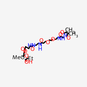 CCC(CO)OC(COC(=O)CCCC(=O)NCCNC(=O)CCOCCOCCNC(=O)CN1C(=O)C(C)C(C)C1=O)OC